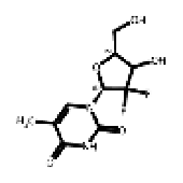 Cc1cn([C@H]2O[C@@H](CO)C(O)C2(F)F)c(=O)[nH]c1=O